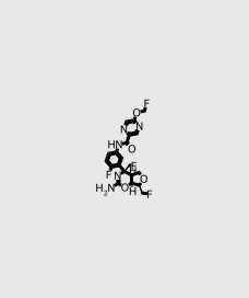 NC1=N[C@](CF)(c2cc(NC(=O)c3cnc(OCF)cn3)ccc2F)[C@H]2CO[C@@H](CF)[C@H]2O1